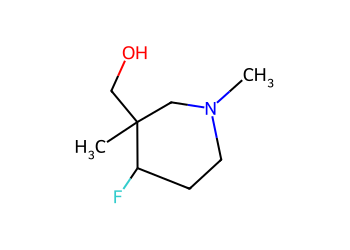 CN1CCC(F)C(C)(CO)C1